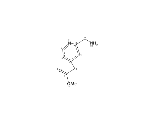 COC(=O)Cc1ccnc(CN)c1